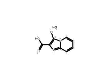 Cl.O=C(O)c1nc2ccccn2c1Cl